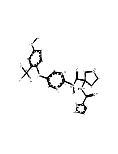 COc1ccc(Oc2cnc(N(C)C(=O)C3(NC(=O)c4ccno4)CCOC3)nc2)c(C(F)(F)F)c1